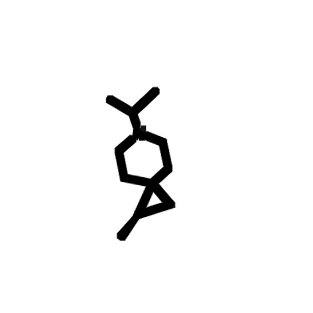 CC(C)N1CCC2(CC1)C[C@H]2C